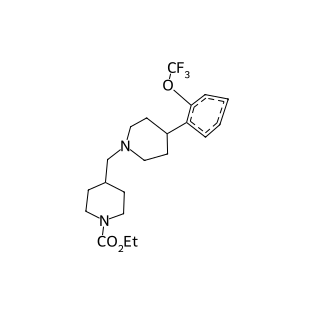 CCOC(=O)N1CCC(CN2CCC(c3ccccc3OC(F)(F)F)CC2)CC1